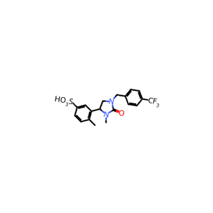 Cc1ccc(S(=O)(=O)O)cc1C1CN(Cc2ccc(C(F)(F)F)cc2)C(=O)N1C